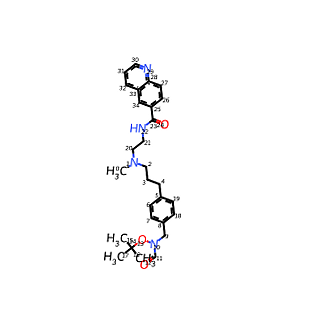 CN(CCCc1ccc(CN(C=O)OC(C)(C)C)cc1)CCNC(=O)c1ccc2ncccc2c1